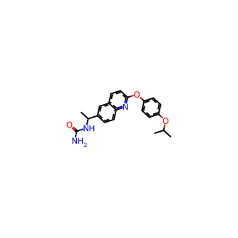 CC(C)Oc1ccc(Oc2ccc3cc(C(C)NC(N)=O)ccc3n2)cc1